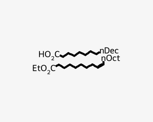 CCCCCCCC/C=C\CCCCCCCC(=O)OCC.CCCCCCCCCCCCCCCCCC(=O)O